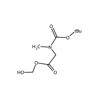 CN(CC(=O)OCO)C(=O)OC(C)(C)C